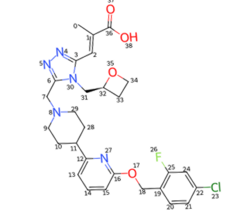 C/C(=C\c1nnc(CN2CCC(c3cccc(OCc4ccc(Cl)cc4F)n3)CC2)n1C[C@@H]1CCO1)C(=O)O